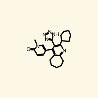 Cn1cc(-c2c3c(nc(C4CCCCC4)c2-c2nnn[nH]2)CCCCC3)ccc1=O